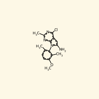 COc1ccc(C)c(-n2c(N)cc3c(Cl)nc(C)nc32)c1C